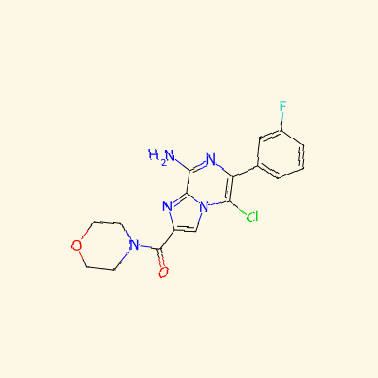 Nc1nc(-c2cccc(F)c2)c(Cl)n2cc(C(=O)N3CCOCC3)nc12